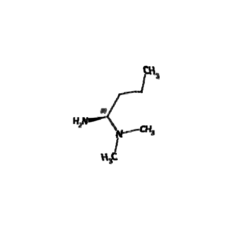 CCC[C@H](N)N(C)C